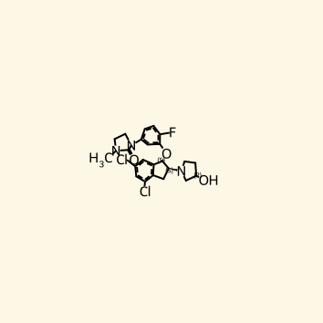 CN1CCN(c2ccc(F)c(O[C@H]3c4cc(Cl)cc(Cl)c4C[C@@H]3N3CC[C@@H](O)C3)c2)C1=O